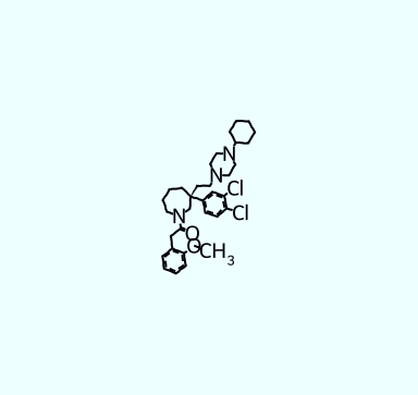 COc1ccccc1CC(=O)N1CCCC[C@](CCN2CCN(C3CCCCC3)CC2)(c2ccc(Cl)c(Cl)c2)C1